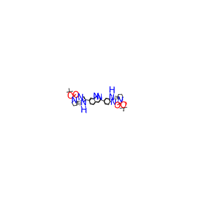 CC(C)(C)OC(=O)N1CCC[C@H]1c1ncc(-c2ccc3cc(-c4ccc5nc([C@@H]6CCCN6C(=O)OC(C)(C)C)[nH]c5c4)nnc3c2)[nH]1